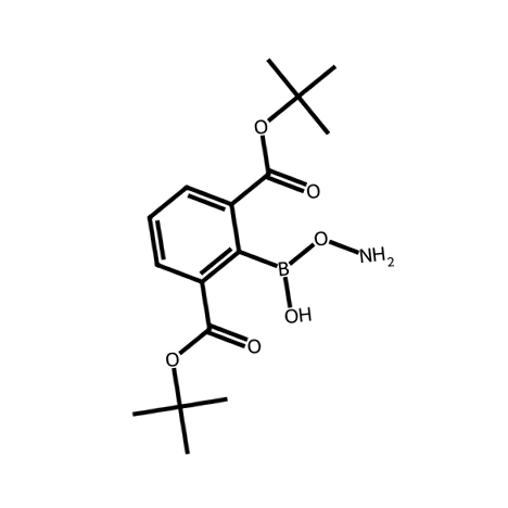 CC(C)(C)OC(=O)c1cccc(C(=O)OC(C)(C)C)c1B(O)ON